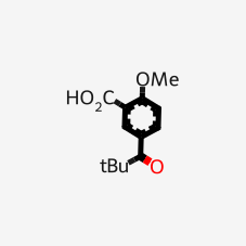 COc1ccc(C(=O)C(C)(C)C)cc1C(=O)O